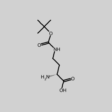 CC(C)(C)OC(=O)NCC[C@@H](N)C(=O)O